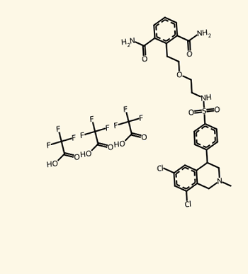 CN1Cc2c(Cl)cc(Cl)cc2C(c2ccc(S(=O)(=O)NCCOCCc3c(C(N)=O)cccc3C(N)=O)cc2)C1.O=C(O)C(F)(F)F.O=C(O)C(F)(F)F.O=C(O)C(F)(F)F